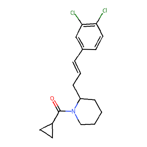 O=C(C1CC1)N1CCCCC1CC=Cc1ccc(Cl)c(Cl)c1